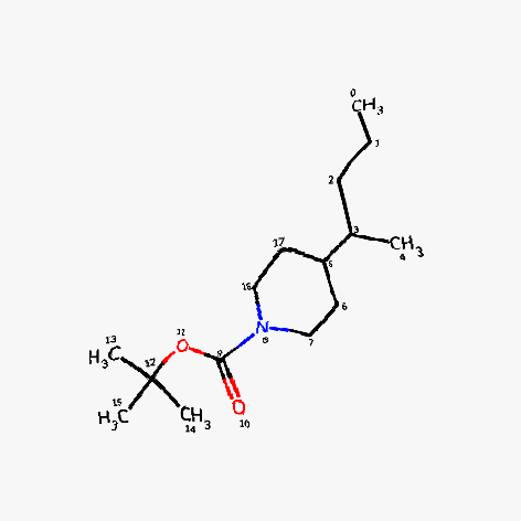 CCCC(C)C1CCN(C(=O)OC(C)(C)C)CC1